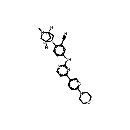 CN1C[C@@H]2C[C@H]1CN2c1ccc(Nc2nccc(-c3ccc(N4CCOCC4)nc3)n2)cc1C#N